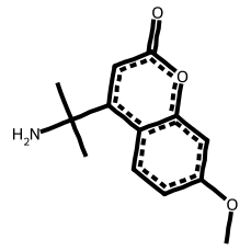 COc1ccc2c(C(C)(C)N)cc(=O)oc2c1